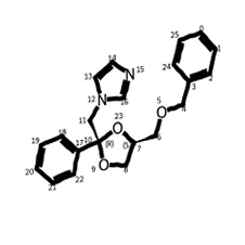 c1ccc(COC[C@H]2CO[C@](Cn3ccnc3)(c3ccccc3)O2)cc1